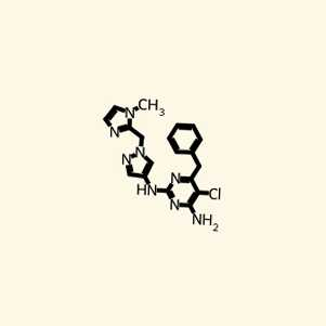 Cn1ccnc1Cn1cc(Nc2nc(N)c(Cl)c(Cc3ccccc3)n2)cn1